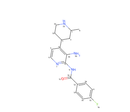 CC1CC(c2ccnc(NC(=O)c3ccc(F)cc3)c2N)CCN1